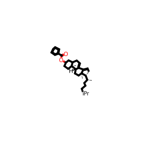 CC(C)CCC[C@@H](C)[C@H]1CC=C2C3=CCC4CC(OC(=O)c5ccccc5)CC[C@]4(C)[C@H]3CC[C@@]21C